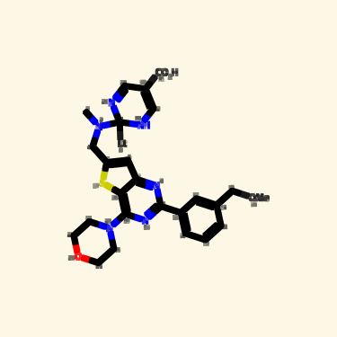 CCC1(N(C)Cc2cc3nc(-c4cccc(COC)c4)nc(N4CCOCC4)c3s2)N=CC(C(=O)O)=CN1